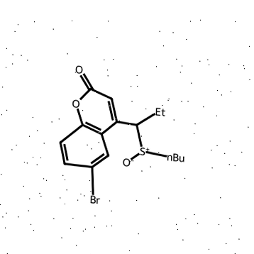 CCCC[S+]([O-])C(CC)c1cc(=O)oc2ccc(Br)cc12